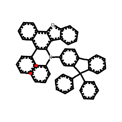 c1ccc(-c2c(N(c3ccccc3)c3ccc4c(c3)C(c3ccccc3)(c3ccccc3)c3ccccc3-4)c3c4ccccc4oc3c3ccccc23)cc1